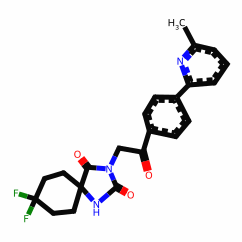 Cc1cccc(-c2ccc(C(=O)CN3C(=O)NC4(CCC(F)(F)CC4)C3=O)cc2)n1